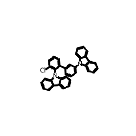 Clc1cccc(-c2cccc(-n3c4ccccc4c4ccccc43)c2)c1-n1c2ccccc2c2ccccc21